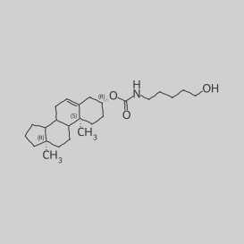 C[C@]12CCCC1C1CC=C3C[C@H](OC(=O)NCCCCCO)CC[C@@]3(C)C1CC2